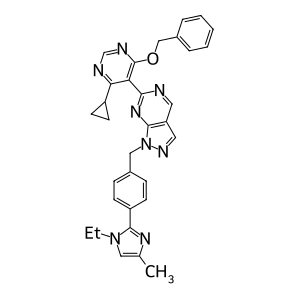 CCn1cc(C)nc1-c1ccc(Cn2ncc3cnc(-c4c(OCc5ccccc5)ncnc4C4CC4)nc32)cc1